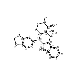 CN1CCN2[C@H](c3ccc4c(c3)OCO4)c3[nH]c4ccccc4c3C[C@]2(N)C1=O